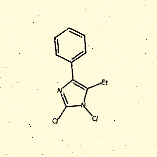 CCc1c(-c2ccccc2)nc(Cl)n1Cl